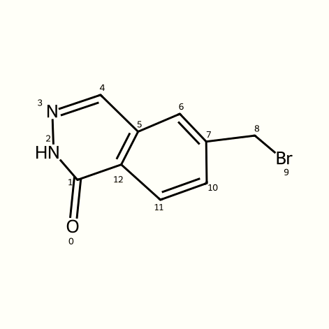 O=c1[nH]ncc2cc(CBr)ccc12